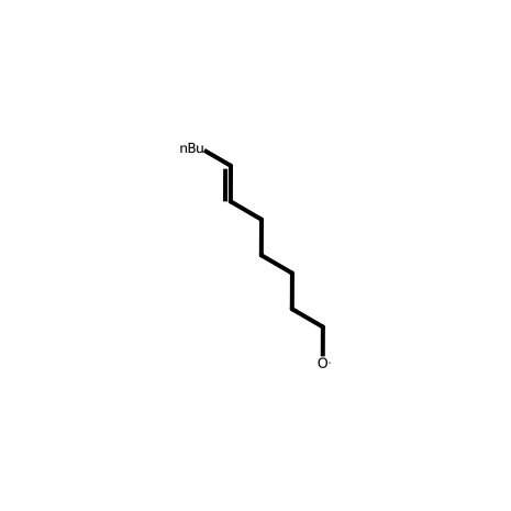 CCCCC=CCCCCC[O]